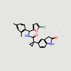 Cc1ccc(C(NC(=O)C2(c3ccc4c(c3)CC(=O)N4)CC2)c2ccc(Cl)o2)c(C)c1